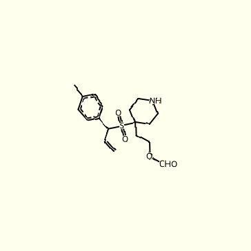 C=CC(c1ccc(C)cc1)S(=O)(=O)C1(CCOC=O)CCNCC1